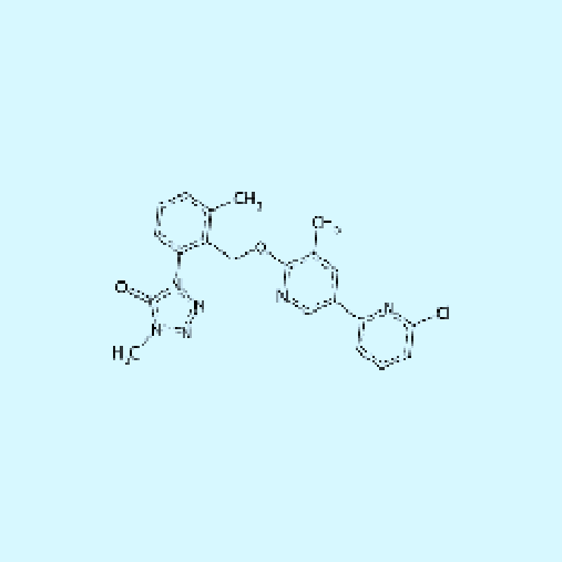 Cc1cc(-c2cccc(Cl)n2)cnc1OCc1c(C)cccc1-n1nnn(C)c1=O